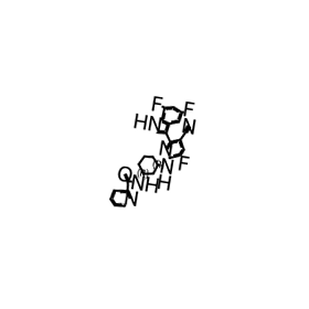 N#Cc1cc(F)c(N[C@@H]2CCC[C@@H](NC(=O)c3ccccn3)C2)nc1-c1c[nH]c2c(F)cc(F)cc12